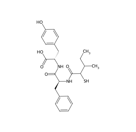 CCC(C)C(S)C(=O)N[C@@H](Cc1ccccc1)C(=O)N[C@@H](Cc1ccc(O)cc1)C(=O)O